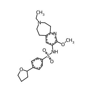 CCN1CCc2cc(NS(=O)(=O)c3ccc(C4CCCO4)cc3)c(OC)nc2CC1